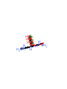 CC(N)CCNCCCCNC(=O)CC(=O)NCCCCCCNC=NN.O=C(O)C(F)(F)F.O=C(O)C(F)(F)F.O=C(O)C(F)(F)F